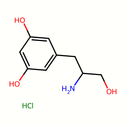 Cl.NC(CO)Cc1cc(O)cc(O)c1